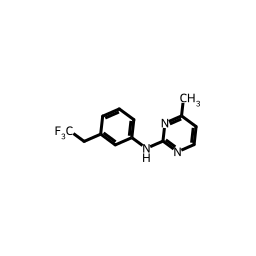 Cc1ccnc(Nc2cccc(CC(F)(F)F)c2)n1